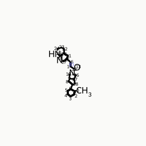 Cc1ccccc1C1=CC2CN(C(=O)/C=C/c3cnc4c(c3)CCCN4)CC2C1